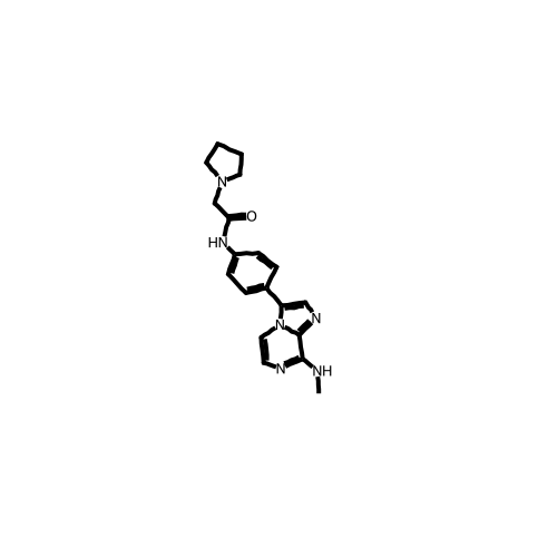 CNc1nccn2c(-c3ccc(NC(=O)CN4CCCC4)cc3)cnc12